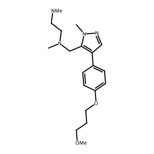 CNCCN(C)Cc1c(-c2ccc(OCCCOC)cc2)cnn1C